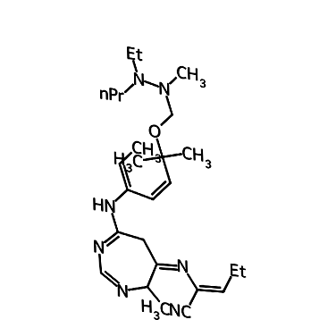 C/C=C(\C=C/C(C)(C)OCN(C)N(CC)CCC)NC1=NC=NC(C)/C(=N\C(C#N)=C/CC)C1